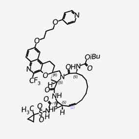 CC(C)COC(=O)N[C@H]1CCCCC/C=C\[C@@H]2P[C@@]2(C(=O)NS(=O)(=O)C2(C)CC2)NC(=O)[C@@H]2C[C@]3(CCc4c(c(C(F)(F)F)nc5ccc(OCCCOc6ccncc6)cc45)O3)CN2C1=O